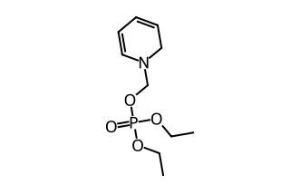 CCOP(=O)(OCC)OCN1C=CC=CC1